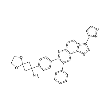 NC1(c2ccc(-c3nc4ccn5c(-c6ccon6)nnc5c4cc3-c3ccccc3)cc2)CC2(C1)OCCO2